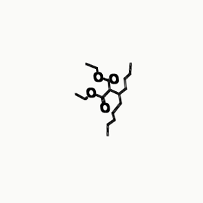 CCCCCC(CCCC)C(C(=O)OCC)C(=O)OCC